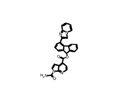 NC(=O)n1ccc2c(C(=O)OC3c4ccccc4-c4c(-c5cn6ccccc6n5)cccc43)ccnc21